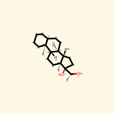 C[C@@H](O)[C@@]1(O)CC[C@H]2[C@@H]3CCC4CCCC[C@]4(C)[C@H]3CC[C@@]21C